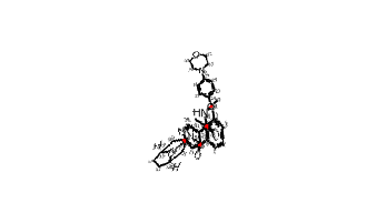 COc1cccc(C(=O)N[C@H]2C[C@H]3CC[C@@H](C2)N3c2ccc(C(=O)NCc3ccc(N4CCOCC4)cc3)cn2)c1C